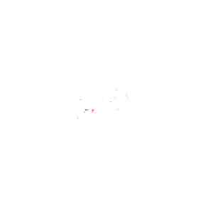 CCCC1CCC(c2ccc(CC)cc2)OC1=O